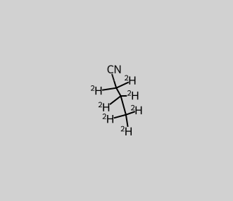 [2H]C([2H])([2H])C([2H])([2H])C([2H])([2H])C#N